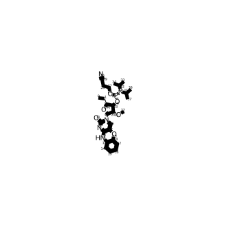 CC[C@H]1O[C@@H](n2cc3c(nc2=O)Nc2ccccc2O3)[C@@H](OC)C1OP(OCCC#N)N(C(C)C)C(C)C